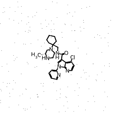 C[C@@H]1CN(C2(CNC(=O)c3cn(-c4ccccn4)c4nccc(Cl)c34)CCCCC2)CCN1